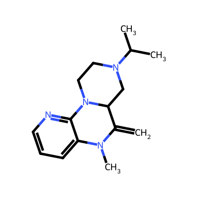 C=C1C2CN(C(C)C)CCN2c2ncccc2N1C